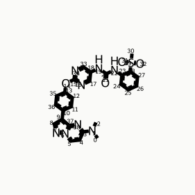 CN(C)c1ccn2ncc(-c3ccc(Oc4ncc(NC(=O)Nc5ccccc5S(C)(=O)=O)cn4)cc3)c2n1